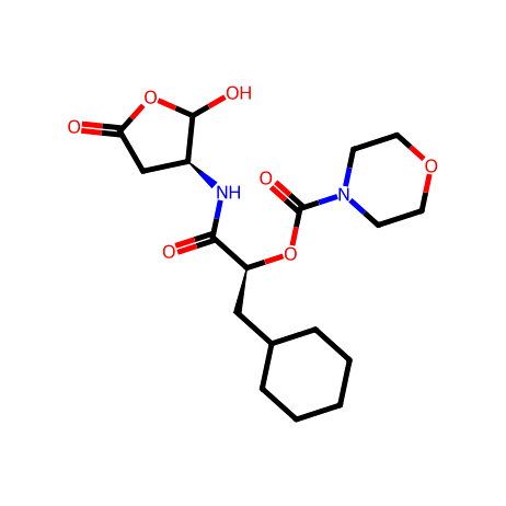 O=C1C[C@H](NC(=O)[C@H](CC2CCCCC2)OC(=O)N2CCOCC2)C(O)O1